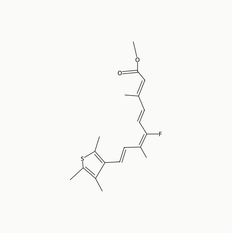 COC(=O)/C=C(C)/C=C/C(F)=C(C)\C=C\c1c(C)sc(C)c1C